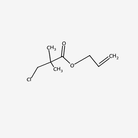 C=CCOC(=O)C(C)(C)CCl